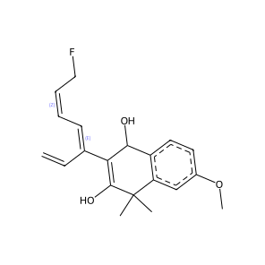 C=C/C(=C\C=C/CF)C1=C(O)C(C)(C)c2cc(OC)ccc2C1O